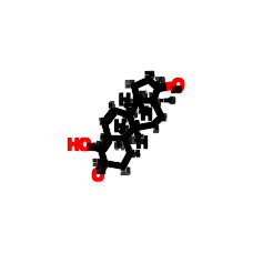 C[C@]12CC[C@H]3[C@@H](C=CC4=C(O)C(=O)CC[C@@H]43)[C@@H]1CCC2=O